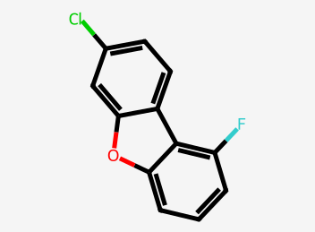 Fc1cccc2oc3cc(Cl)ccc3c12